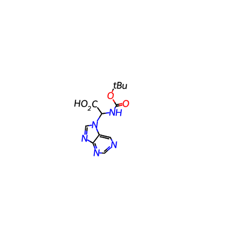 CC(C)(C)OC(=O)NC(C(=O)O)n1cnc2ncncc21